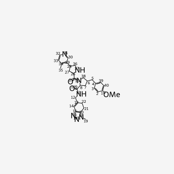 COc1ccc(CC2CC(C(=O)NCC3=Cc4nnn(C)c4CC3)N(C(=O)C3CC(c4cnccc4C)CN3)C2)cc1